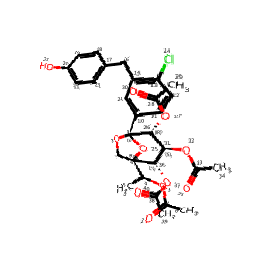 CC(=O)OC(C)[C@@]12CO[C@@](c3ccc(Cl)c(Cc4ccc(O)cc4)c3)(O1)[C@H](OC(C)=O)[C@@H](OC(C)=O)[C@@H]2OC(C)=O